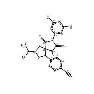 CC(C)N1CC(c2ccc(C#N)cc2)C2(C1)C(=O)N(c1cc(Cl)cc(Cl)c1)C(=O)N2C